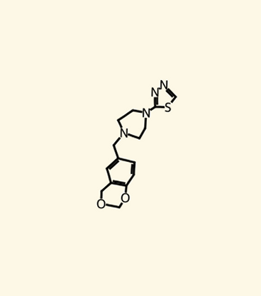 c1nnc(N2CCN(Cc3ccc4c(c3)COCO4)CC2)s1